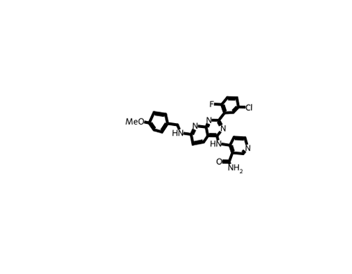 COc1ccc(CNc2ccc3c(Nc4ccncc4C(N)=O)nc(-c4cc(Cl)ccc4F)nc3n2)cc1